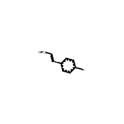 O=C/C=C/c1ccc(Br)cc1